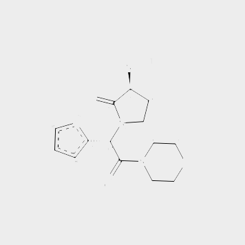 Cl.N[C@H]1CCN([C@H](C(=O)N2CCOCC2)c2cccs2)C1=O